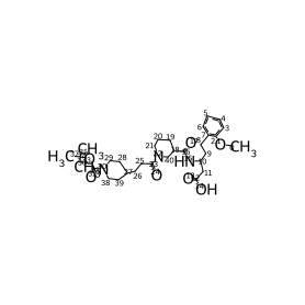 COc1ccccc1CCC(CC(=O)O)NC(=O)[C@@H]1CCCN(C(=O)CCC2CCN(C(=O)OC(C)(C)C)CC2)C1